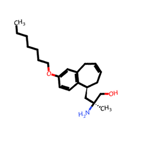 CCCCCCCOc1ccc2c(c1)CC=CC[C@H]2C[C@](C)(N)CO